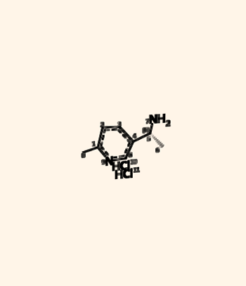 Cc1ccc([C@@H](C)N)cn1.Cl.Cl